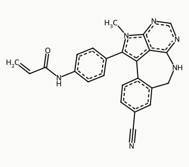 C=CC(=O)Nc1ccc(-c2c3c4c(ncnc4n2C)NCc2cc(C#N)ccc2-3)cc1